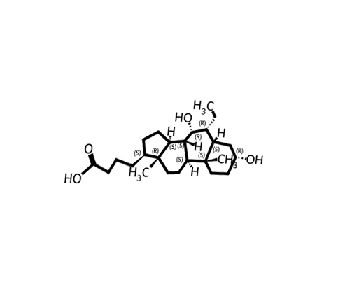 CC[C@H]1[C@@H](O)[C@@H]2[C@H](CC[C@]3(C)[C@@H](CCCC(=O)O)CC[C@@H]23)[C@@]2(C)CC[C@@H](O)C[C@@H]12